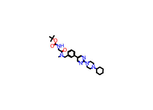 CN(Cc1cccc(-c2cnc(N3CCN(C4CCCCC4)CC3)nc2)c1)C(=O)CNC(=O)OC(C)(C)C